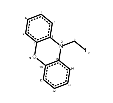 ICN1c2ccccc2Oc2ccccc21